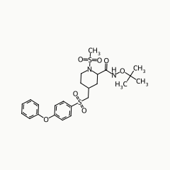 CC(C)(C)ONC(=O)C1CC(CS(=O)(=O)c2ccc(Oc3ccccc3)cc2)CCN1S(C)(=O)=O